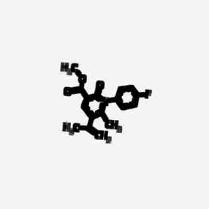 C=C(C)c1cc(C(=O)OC)c(=O)n(-c2ccc(F)cc2)c1C